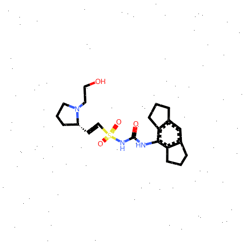 O=C(Nc1c2c(cc3c1CCC3)CCC2)NS(=O)(=O)/C=C/[C@@H]1CCCN1CCO